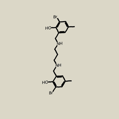 Cc1cc(Br)c(O)c(CNCCCNCc2cc(C)cc(Br)c2O)c1